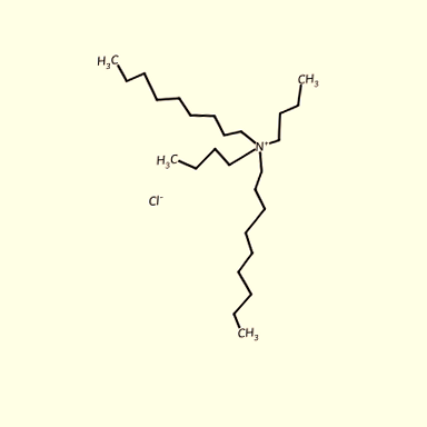 CCCCCCCCC[N+](CCCC)(CCCC)CCCCCCCCC.[Cl-]